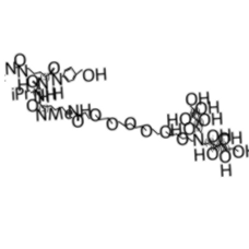 CN[C@@H](CCCCNC(=O)CCOCCOCCOCCOCCOCCOCCN(C[C@H](O)[C@@H](O)[C@H](O)[C@H](O)CO)C[C@H](O)[C@@H](O)[C@H](O)[C@H](O)CO)C(=O)N[C@H](C(=O)N[C@@H](CCCNC(N)=O)C(=O)Nc1ccc(CO)cc1)C(C)C